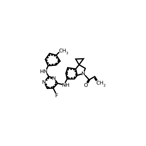 C=CC(=O)N1CC2(CC2)c2ccc(Nc3nc(Nc4ccc(C)cc4)ncc3F)cc21